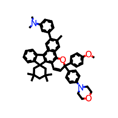 COc1ccc(C2(c3ccc(N4CCOCC4)cc3)C=Cc3c4c(c5cc(-c6cccc(N(C)C)c6)c(C)cc5c3O2)-c2ccccc2C42CC(C)(C)CC(C)(C)C2)cc1